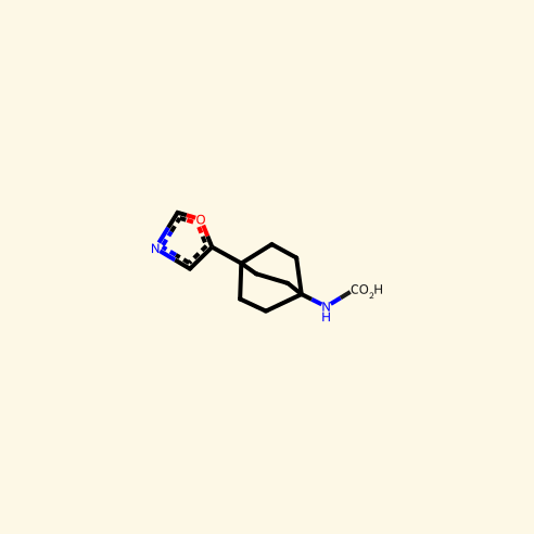 O=C(O)NC12CCC(c3cnco3)(CC1)CC2